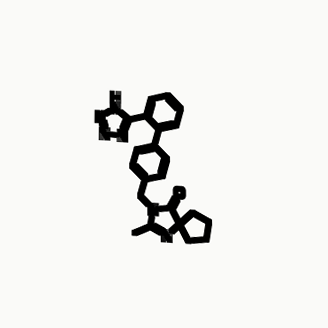 CC1=NC2(CCCC2)C(=O)N1Cc1ccc(-c2ccccc2-c2nnn[nH]2)cc1